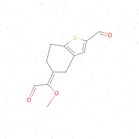 COC(C=O)=C1CCc2sc(C=O)cc2C1